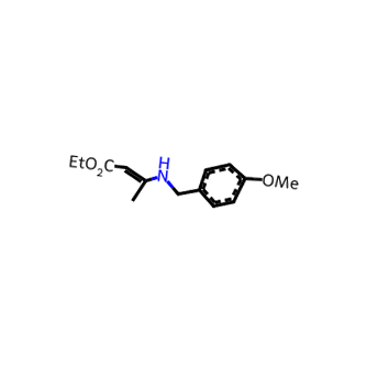 CCOC(=O)/C=C(\C)NCc1ccc(OC)cc1